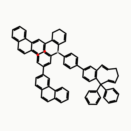 C1=CC(N(c2ccc(-c3ccc4c(c3)/C=C/CC/C=C/C4(c3ccccc3)c3ccccc3)cc2)c2cccc(-c3ccc4ccc5ccccc5c4c3)c2)=C(c2ccc3ccc4ccccc4c3c2)CC1